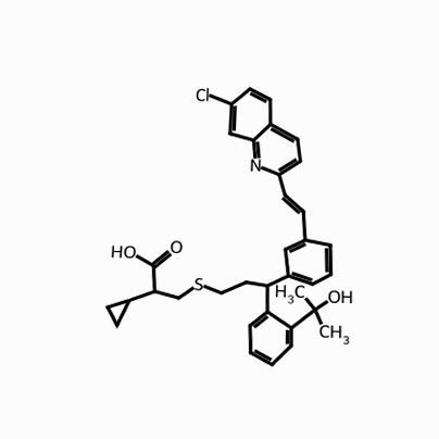 CC(C)(O)c1ccccc1C(CCSCC(C(=O)O)C1CC1)c1cccc(/C=C/c2ccc3ccc(Cl)cc3n2)c1